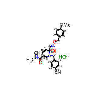 COc1ccc(CON=CC2(O)C=CC(C(=O)N(C)C)=CN2Cc2ccc(C#N)cc2)cc1.Cl